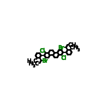 C/C=C(/Br)c1c(C)cccc1-c1ccc2c(ccc3c4ccc(-c5cccc(C)c5/C(Br)=C\C)c(Cl)c4ccc23)c1Cl